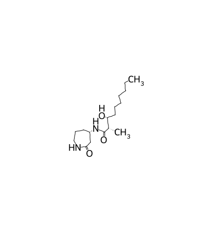 CCCCCCC[C@@H](O)[C@H](C)C(=O)N[C@H]1CCCNC(=O)C1